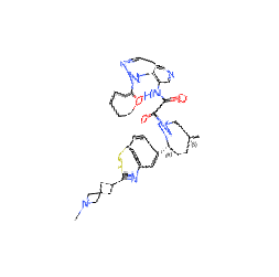 C[C@H]1CC[C@H](c2ccc3sc(C4CC5(C4)CN(C)C5)nc3c2)N(C(=O)C(=O)Nc2cncc3cnn(C4CCCCO4)c23)C1